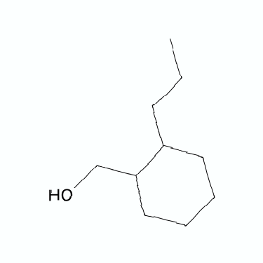 CCCC1CCCCC1CO